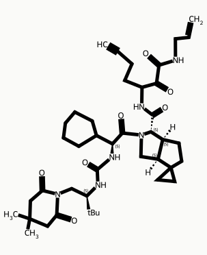 C#CCCC(NC(=O)[C@@H]1[C@H]2CCC3(CC3)[C@H]2CN1C(=O)[C@@H](NC(=O)N[C@H](CN1C(=O)CC(C)(C)CC1=O)C(C)(C)C)C1CCCCC1)C(=O)C(=O)NCC=C